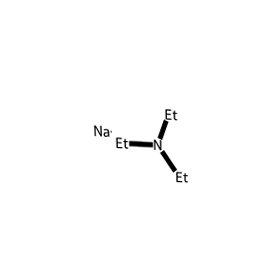 CCN(CC)CC.[Na]